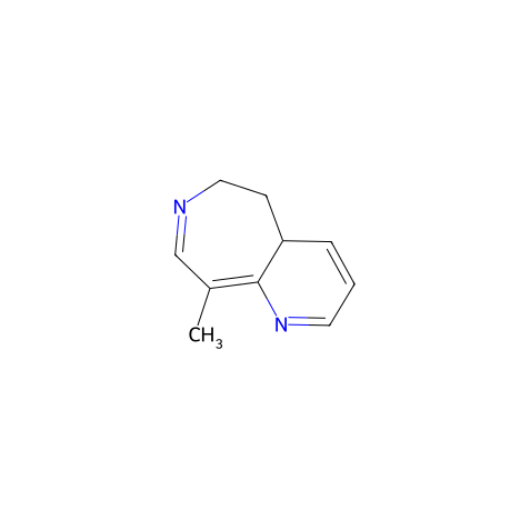 CC1=C2N=CC=CC2CCN=C1